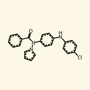 O=C(c1ccccc1)N(c1ccc(Nc2ccc(Cl)cc2)cc1)n1cccc1